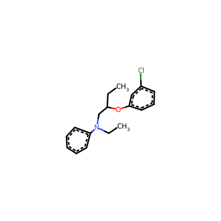 CCC(CN(CC)c1ccccc1)Oc1cccc(Cl)c1